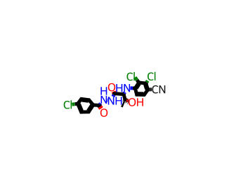 C[C@H](O)C(Nc1ccc(C#N)c(Cl)c1Cl)C(=O)NNC(=O)c1ccc(Cl)cc1